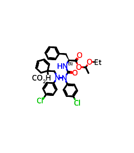 CCOC(C)OC(=O)[C@H](Cc1ccccc1)NC(=O)N(c1ccc(Cl)cc1)N(CC1(C(=O)O)C=CC=CC1)c1ccc(Cl)cc1